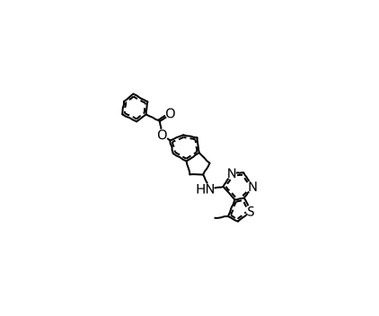 Cc1csc2ncnc(NC3Cc4ccc(OC(=O)c5ccccc5)cc4C3)c12